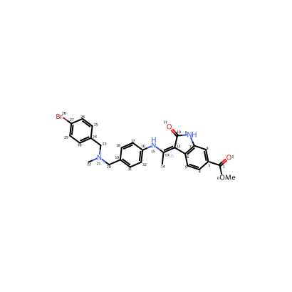 COC(=O)c1ccc2c(c1)NC(=O)/C2=C(/C)Nc1ccc(CN(C)Cc2ccc(Br)cc2)cc1